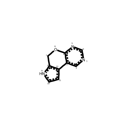 c1ncc2c(n1)OCc1[nH]ccc1-2